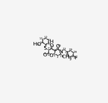 Cc1cc2oc(=O)c(Sc3ccccc3O)c(O)c2c(=O)n1Cc1ccc(F)cc1